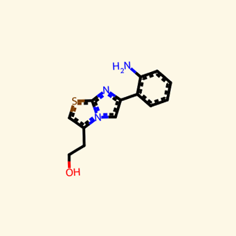 Nc1ccccc1-c1cn2c(CCO)csc2n1